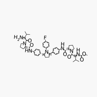 COC(=O)N[C@H](C(=O)N1CCC[C@H]1C(=O)Nc1ccc([C@H]2CC[C@H](c3ccc(NC(=O)[C@@H]4CCCN4C(=O)[C@@H](N)C(C)C)cc3)N2c2ccc(F)cc2)cc1)C(C)C